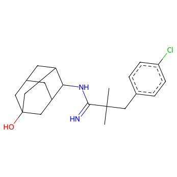 CC(C)(Cc1ccc(Cl)cc1)C(=N)NC1C2CC3CC1CC(O)(C3)C2